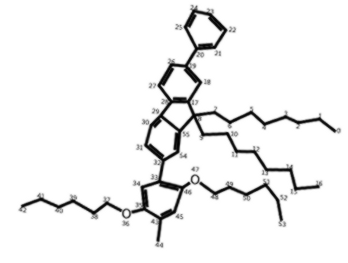 CCCCCCCCC1(CCCCCCCC)c2cc(-c3ccccc3)ccc2-c2ccc(-c3cc(OCCCCCC)c(C)cc3OCCCCCC)cc21